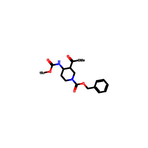 COC(=O)C1CN(C(=O)OCc2ccccc2)CCC1NC(=O)OC(C)(C)C